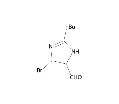 CCCCC1=NC(Br)C(C=O)N1